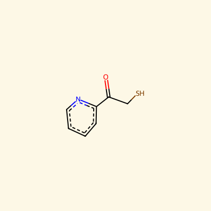 O=C(CS)c1ccccn1